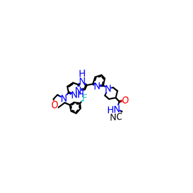 N#CCNC(=O)C1CCN(c2cccc(-c3cnc(/C=C\C(=N)N4CCOCC4c4cccc(F)c4)[nH]3)n2)CC1